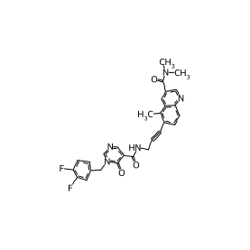 Cc1c(C#CCNC(=O)c2cncn(Cc3ccc(F)c(F)c3)c2=O)ccc2ncc(C(=O)N(C)C)cc12